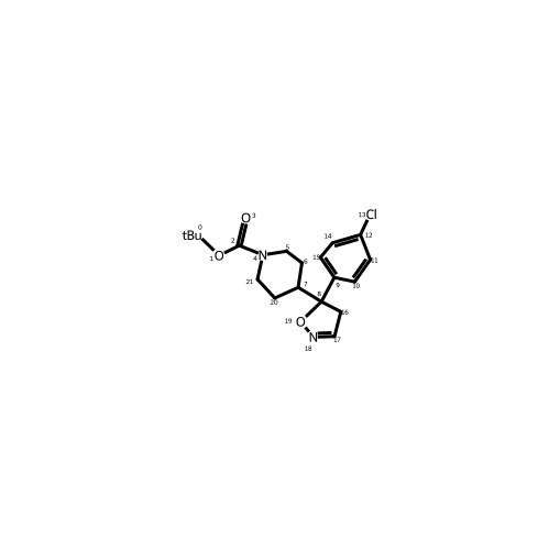 CC(C)(C)OC(=O)N1CCC(C2(c3ccc(Cl)cc3)CC=NO2)CC1